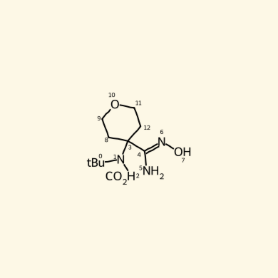 CC(C)(C)N(C(=O)O)C1(C(N)=NO)CCOCC1